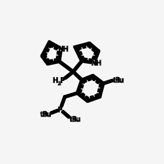 CC(C)(C)c1ccc(CP(C(C)(C)C)C(C)(C)C)c(C(P)(c2ccc[nH]2)c2ccc[nH]2)c1